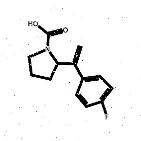 C=C(c1ccc(F)cc1)C1CCCN1C(=O)O